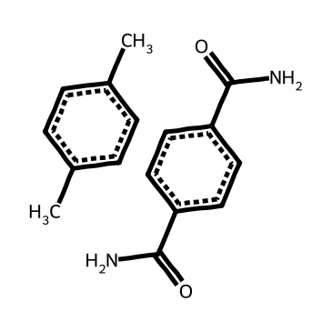 Cc1ccc(C)cc1.NC(=O)c1ccc(C(N)=O)cc1